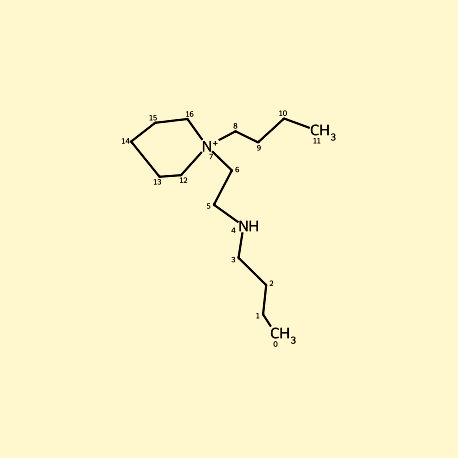 CCCCNCC[N+]1(CCCC)CCCCC1